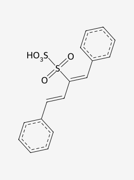 O=S(=O)(O)S(=O)(=O)C(C=Cc1ccccc1)=Cc1ccccc1